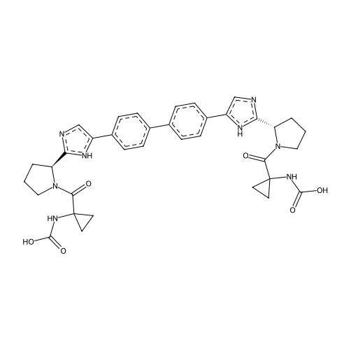 O=C(O)NC1(C(=O)N2CCC[C@H]2c2ncc(-c3ccc(-c4ccc(-c5cnc([C@@H]6CCCN6C(=O)C6(NC(=O)O)CC6)[nH]5)cc4)cc3)[nH]2)CC1